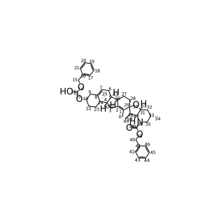 CC1=C2C[C@H]3[C@@H](CC=C4C[C@@H](OC(O)OCc5ccccc5)CC[C@@]43C)[C@@H]2CC[C@]12O[C@@H]1C[C@H](C)CN(C(=O)OCc3ccccc3)[C@H]1[C@H]2C